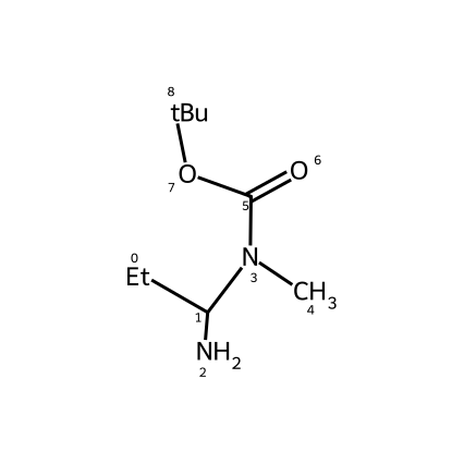 CCC(N)N(C)C(=O)OC(C)(C)C